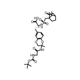 CC(C)(C)OC(=O)NCC(=O)NC1(C)COc2cc(C[C@@H](NS(=O)(=O)CC34CCC(CC3=O)C4(C)C)C(=O)O)ccc2O1